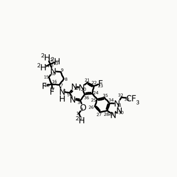 [2H]COc1nc(N[C@@H]2CCN(C([2H])([2H])[2H])CC2(F)F)nn2cc(F)c(-c3ccc4nnn(CC(F)(F)F)c4c3)c12